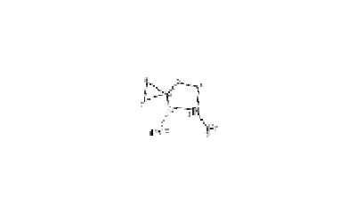 CC(C)[C@H]1N(C(C)C)CCC12CC2